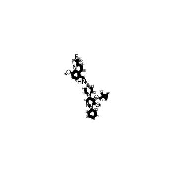 COc1ccc(CNSN2CCN(c3cnn(-c4ccccc4)c(=O)c3OCC3(C)CC3)CC2)c2ccc(C(F)(F)F)nc12